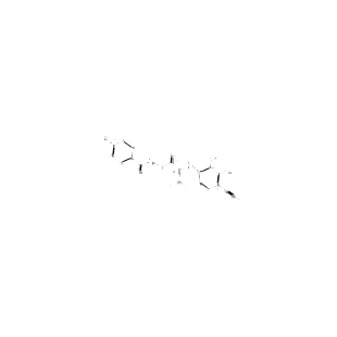 C[C@H](O)[C@@H](Nc1ccc(C#N)c(Cl)c1Cl)C(=O)NNC(=O)c1ccc(Cl)cc1